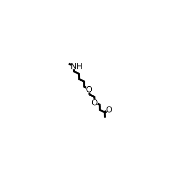 CNCCCCCOCCOCCC(C)=O